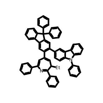 CCC1C=C(c2cc3c(cc2-c2ccc4c(c2)c2ccccc2n4-c2ccccc2)C(c2ccccc2)(c2ccccc2)c2ccccc2-3)C=C(c2ccccc2)N=C1c1ccccc1